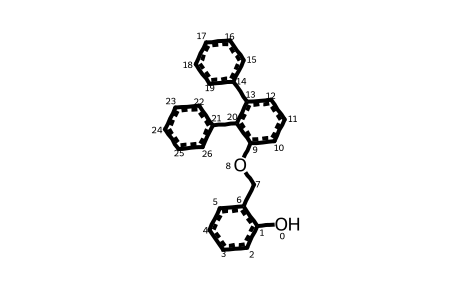 Oc1ccccc1COc1cccc(-c2ccccc2)c1-c1ccccc1